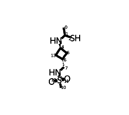 CC(S)N[C@H]1C[C@H](CNS(C)(=O)=O)C1